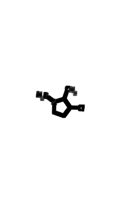 BN1CCC(Cl)C1C